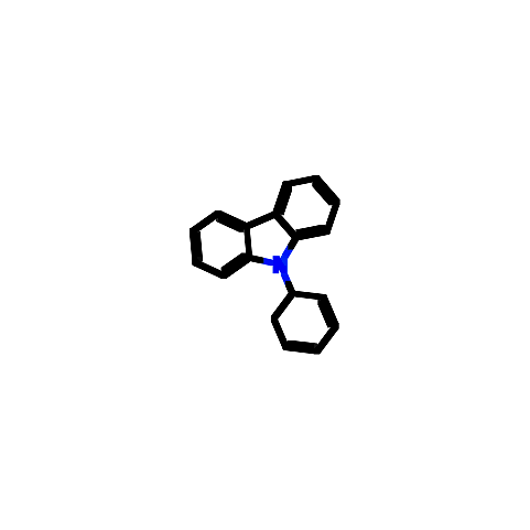 C1=CCC(n2c3ccccc3c3ccccc32)C=C1